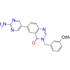 COc1cccc(Cn2cnc3ccc(-c4cnc(N)nc4)cc3c2=O)c1